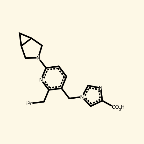 CC(C)Cc1nc(N2CC3CC3C2)ccc1Cn1cnc(C(=O)O)c1